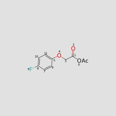 CC(=O)OC(=O)COc1ccc(F)cc1